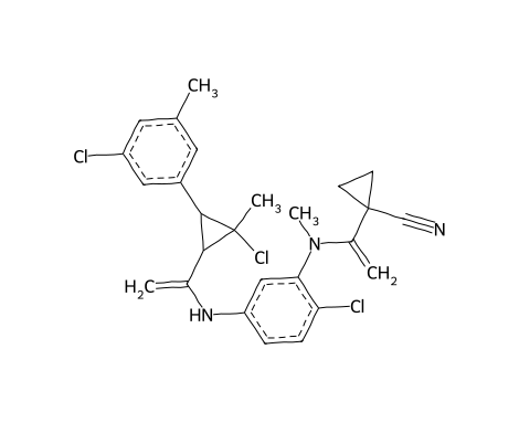 C=C(Nc1ccc(Cl)c(N(C)C(=C)C2(C#N)CC2)c1)C1C(c2cc(C)cc(Cl)c2)C1(C)Cl